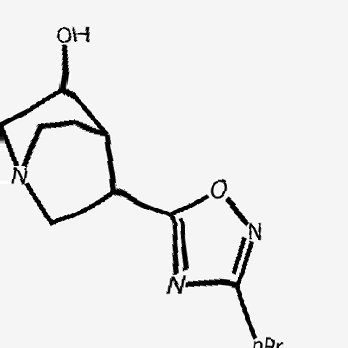 CCCc1noc(C2CN3CC(O)C2C3)n1